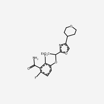 CCOC(=O)C(Oc1ccc(F)c(C(N)=O)c1F)c1nc(C2CCOCC2)co1